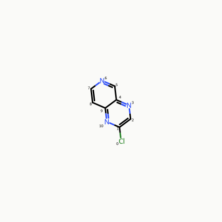 Clc1cnc2cnccc2n1